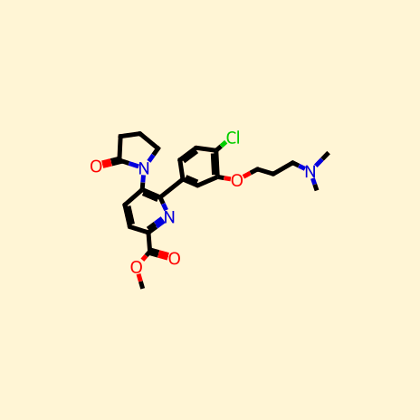 COC(=O)c1ccc(N2CCCC2=O)c(-c2ccc(Cl)c(OCCCN(C)C)c2)n1